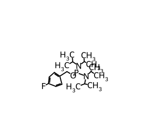 CC(C)N(C(C)C)P(OCc1ccc(F)cc1)N(C(C)C)C(C)C